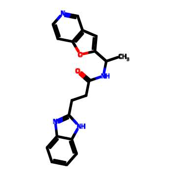 CC(NC(=O)CCc1nc2ccccc2[nH]1)c1cc2cnccc2o1